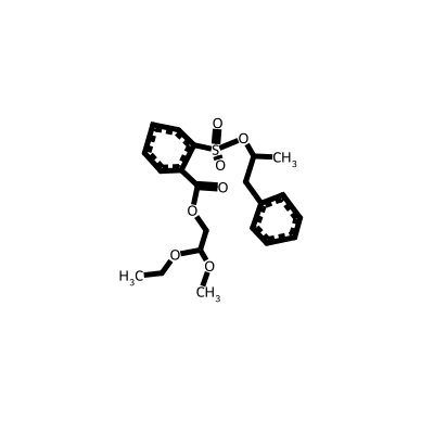 CCOC(COC(=O)c1ccccc1S(=O)(=O)OC(C)Cc1ccccc1)OC